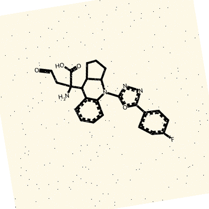 NC(CC=O)(C(=O)O)C1c2ccccc2N(c2nnc(-c3ccc(F)cc3)o2)C2CCCC21